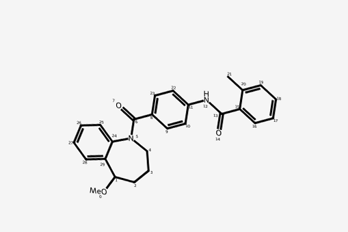 COC1CCCN(C(=O)c2ccc(NC(=O)c3ccccc3C)cc2)c2ccccc21